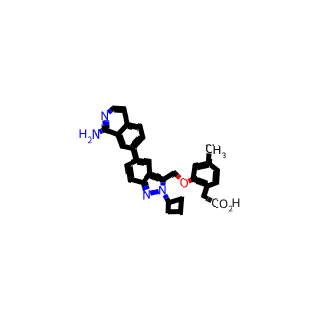 Cc1ccc(CC(=O)O)c(OCc2c3cc(-c4ccc5ccnc(N)c5c4)ccc3nn2C2CCC2)c1